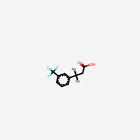 [2H]C([2H])(CC(=O)O)c1cccc(C(F)(F)F)c1